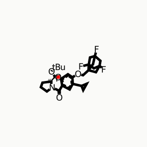 CC(C)(C)OC(=O)[C@@H]1CCCN1C(=O)c1cc(C2CC2)c(OCC23CC4(F)CC(F)(CC2(F)C4)C3)cc1F